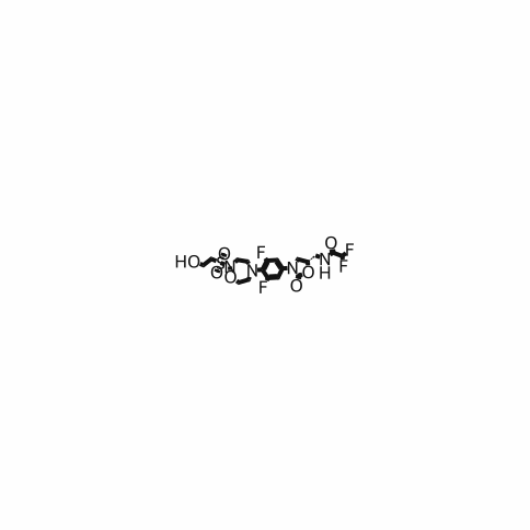 O=C(NC[C@H]1CN(c2cc(F)c(N3CCON(S(=O)(=O)CCO)CC3)c(F)c2)C(=O)O1)C(F)F